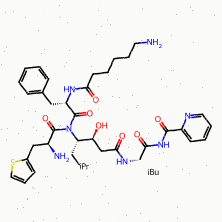 CC[C@H](C)[C@H](NC(=O)C[C@H](O)[C@H](CC(C)C)N(C(=O)[C@H](Cc1ccccc1)NC(=O)CCCCCN)C(=O)[C@@H](N)Cc1cccs1)C(=O)NC(=O)c1ccccn1